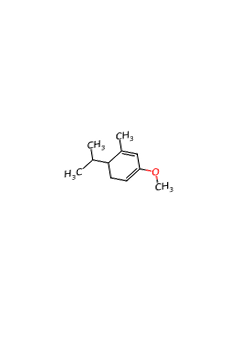 COC1=CCC(C(C)C)C(C)=C1